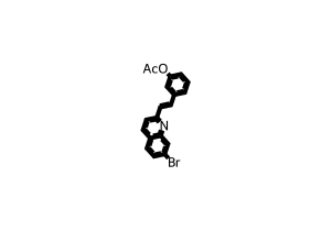 CC(=O)Oc1cccc(C=Cc2ccc3ccc(Br)cc3n2)c1